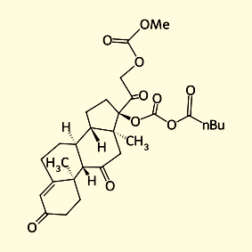 CCCCC(=O)OC(=O)O[C@]1(C(=O)COC(=O)OC)CC[C@H]2[C@@H]3CCC4=CC(=O)CC[C@]4(C)[C@H]3C(=O)C[C@@]21C